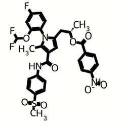 Cc1c(C(=O)Nc2ccc(S(C)(=O)=O)cc2)cc(C[C@H](C)OC(=O)c2ccc([N+](=O)[O-])cc2)n1-c1ccc(F)cc1OC(F)F